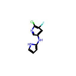 Fc1cc(Nc2ccc[nH]2)cnc1Cl